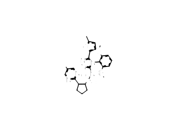 COc1cccc(OC)c1-n1c(NS(=O)(=O)C2CCCC2c2ncc(F)cn2)nnc1-c1ccc(C)o1